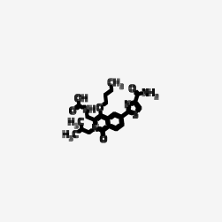 CCCCOc1c(CNC(=O)O)n(CC(C)C)c(=O)c2ccc(-c3nc(C(N)=O)cs3)cc12